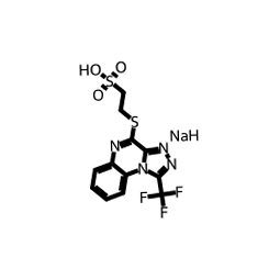 O=S(=O)(O)CCSc1nc2ccccc2n2c(C(F)(F)F)nnc12.[NaH]